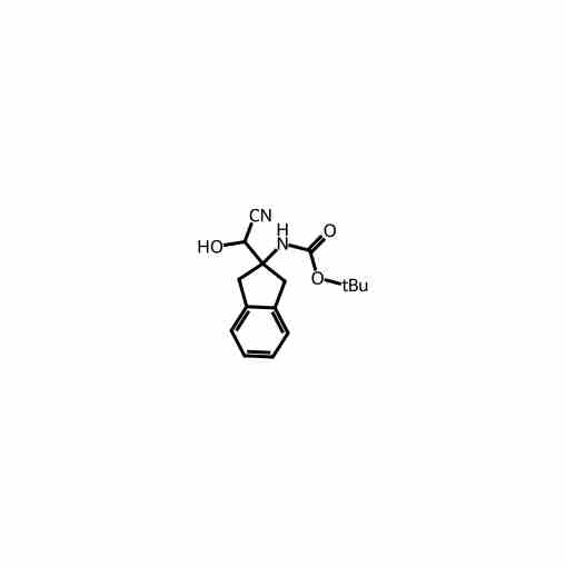 CC(C)(C)OC(=O)NC1(C(O)C#N)Cc2ccccc2C1